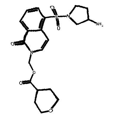 NC1CCN(S(=O)(=O)c2cccc3c(=O)n(COC(=O)C4CCOCC4)ccc23)C1